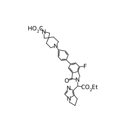 CCOC(=O)C(c1ncn2c1CCC2)N1Cc2c(F)cc(-c3ccc(N4CCC5(CC4)CN(C(=O)O)C5)cc3)cc2C1=O